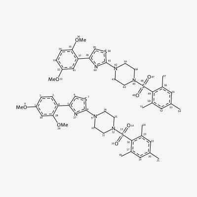 COc1ccc(-c2csc(N3CCN(S(=O)(=O)c4c(C)cc(C)cc4C)CC3)n2)c(OC)c1.COc1ccc(OC)c(-c2csc(N3CCN(S(=O)(=O)c4c(C)cc(C)cc4C)CC3)n2)c1